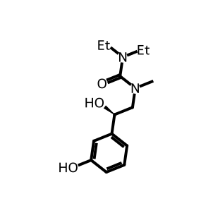 CCN(CC)C(=O)N(C)C[C@H](O)c1cccc(O)c1